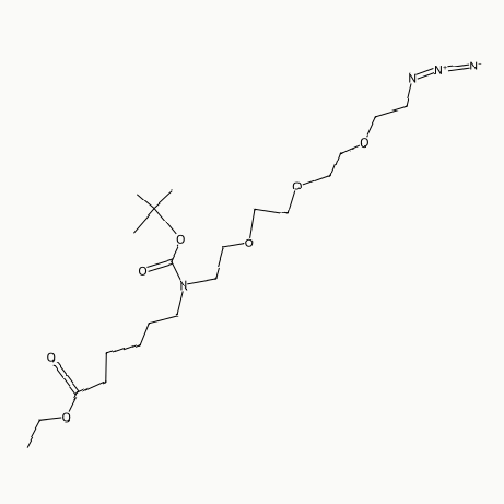 CCOC(=O)CCCCCN(CCOCCOCCOCCN=[N+]=[N-])C(=O)OC(C)(C)C